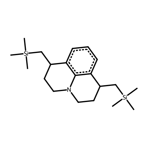 C[Si](C)(C)CC1CCN2CCC(C[Si](C)(C)C)c3cccc1c32